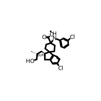 COC(=O)C1(Nc2cccc(Cl)c2)CCC2(CC1)c1ccc(Cl)cc1C[C@H]2C[C@@H](C)CO